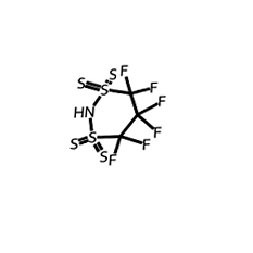 FC1(F)C(F)(F)S(=S)(=S)NS(=S)(=S)C1(F)F